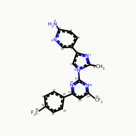 Cc1nc(-c2ccc(N)nc2)cn1-c1nc(-c2ccc(C(F)(F)F)cc2)cc(C(F)(F)F)n1